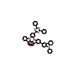 C1=Cc2c(n(-c3ccccc3)c3ccc(-c4ccc5c(c4)c4ccccc4n5-c4cc(-c5nc(-c6ccccc6)nc(-c6ccccc6)n5)ccc4-n4c5ccccc5c5ccccc54)cc23)CC1